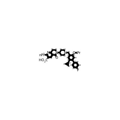 CCCc1nc2c(cc1C(=O)O)C(=O)N(C1CCN(Cc3cc(C4CC4)c(-c4ccc(F)cc4)cc3OC(C)C)CC1)CC2